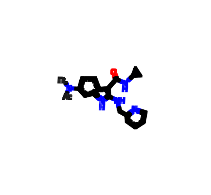 CCN(C(C)=O)c1ccc2c(C(=O)NC3CC3)c(NCc3ccccn3)[nH]c2c1